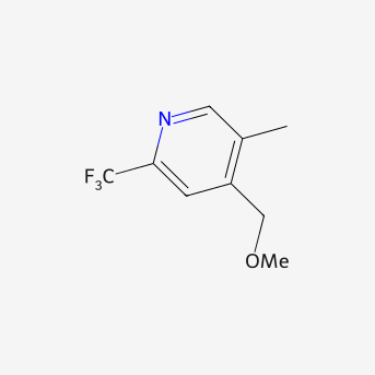 COCc1cc(C(F)(F)F)ncc1C